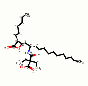 CCCCCCCCCCC[C@@H](C[C@@H]1OC(=O)[C@H]1CCCCCC)NC(=O)C(CC)(CC)C(=O)O